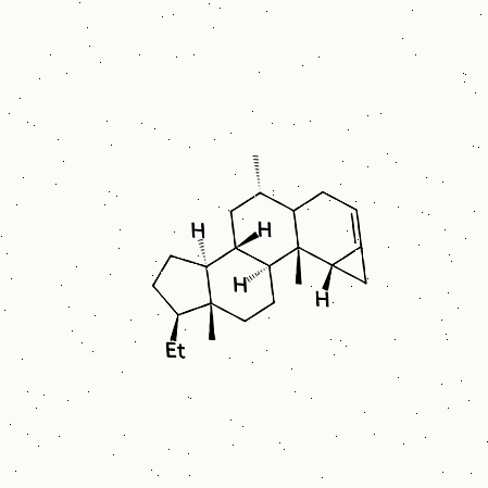 CC[C@H]1CC[C@H]2[C@@H]3C[C@H](C)C4CC=C5C[C@@H]5[C@]4(C)[C@H]3CC[C@]12C